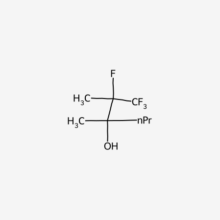 CCCC(C)(O)C(C)(F)C(F)(F)F